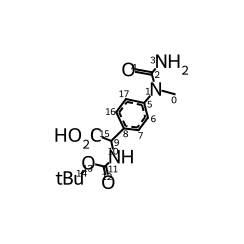 CN(C(N)=O)c1ccc(C(NC(=O)OC(C)(C)C)C(=O)O)cc1